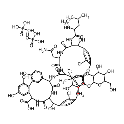 CNC(CC(C)C)C(=O)NC1C(=O)NC(CC(N)=O)C(=O)NC2C(=O)NC3C(=O)NC(C(=O)NC(C(=O)O)c4cc(O)cc(O)c4-c4cc3ccc4O)C(O)c3ccc(c(Cl)c3)Oc3cc2cc(c3OC2OC(CO)C(O)C(O)C2OC2CC(C)(N)C(O)C(C)O2)Oc2ccc(cc2Cl)C1O.O=P(O)(O)O.O=P(O)(O)O